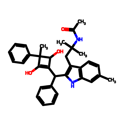 CC(=O)NC(C)(C)Cc1c(C(C2=C(O)C(C)(c3ccccc3)C2O)c2ccccc2)[nH]c2cc(C)ccc12